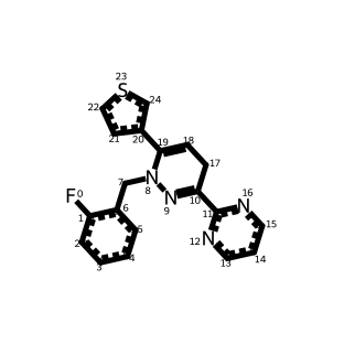 Fc1ccccc1CN1N=C(c2ncccn2)CC=C1c1ccsc1